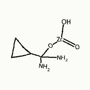 NC(N)([O][Zr](=[O])[OH])C1CC1